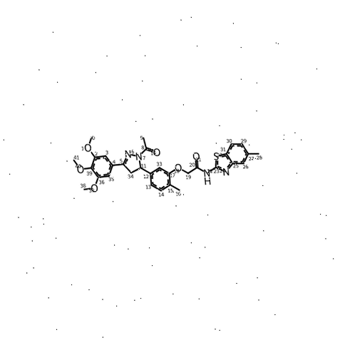 COc1cc(C2=NN(C(C)=O)C(c3ccc(C)c(OCC(=O)Nc4nc5cc(C)ccc5s4)c3)C2)cc(OC)c1OC